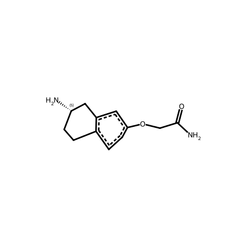 NC(=O)COc1ccc2c(c1)C[C@@H](N)CC2